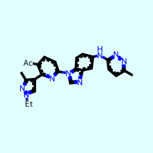 CCn1cc(-c2nc(-n3cnc4cc(Nc5ccc(C)nn5)ccc43)ccc2C(C)=O)c(C)n1